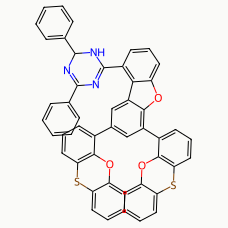 c1ccc(C2=NC(c3ccccc3)NC(c3cccc4oc5c(-c6cccc7c6Oc6ccccc6S7)cc(-c6cccc7c6Oc6ccccc6S7)cc5c34)=N2)cc1